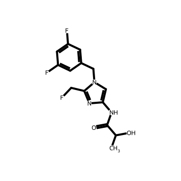 CC(O)C(=O)Nc1cn(Cc2cc(F)cc(F)c2)c(CF)n1